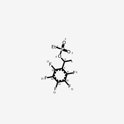 CCS(=O)(=O)OC(C)c1c(F)c(F)c(F)c(F)c1F